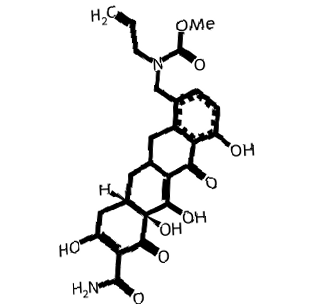 C=CCN(Cc1ccc(O)c2c1CC1C[C@H]3CC(O)=C(C(N)=O)C(=O)[C@@]3(O)C(O)=C1C2=O)C(=O)OC